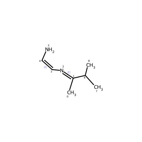 C/C(=N\C=C/N)C(C)C